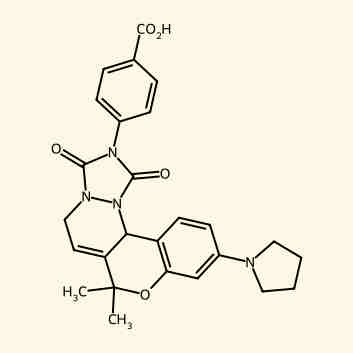 CC1(C)Oc2cc(N3CCCC3)ccc2C2C1=CCn1c(=O)n(-c3ccc(C(=O)O)cc3)c(=O)n12